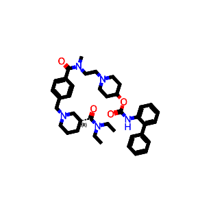 CCN(CC)C(=O)[C@@H]1CCCN(Cc2ccc(C(=O)N(C)CCN3CCC(OC(=O)Nc4ccccc4-c4ccccc4)CC3)cc2)C1